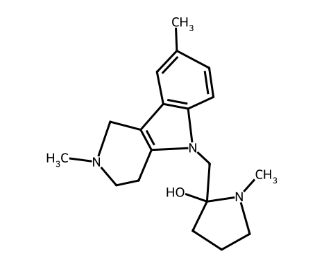 Cc1ccc2c(c1)c1c(n2CC2(O)CCCN2C)CCN(C)C1